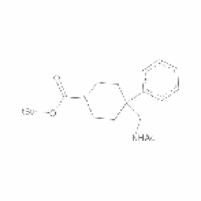 CC(=O)NCC1(c2ccccc2)CCN(C(=O)OC(C)(C)C)CC1